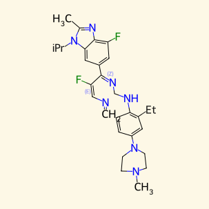 C=N/C=C(F)\C(=N/CNc1ccc(N2CCN(C)CC2)cc1CC)c1cc(F)c2nc(C)n(C(C)C)c2c1